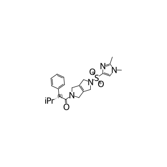 Cc1nc(S(=O)(=O)N2CC3=C(CN(C(=O)[C@@H](c4ccccc4)C(C)C)C3)C2)cn1C